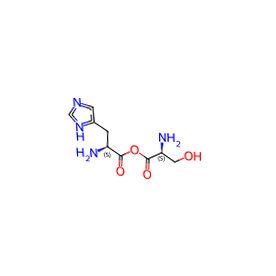 N[C@@H](CO)C(=O)OC(=O)[C@@H](N)Cc1cnc[nH]1